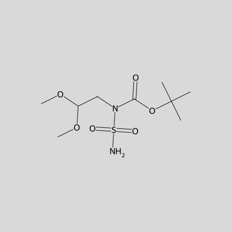 COC(CN(C(=O)OC(C)(C)C)S(N)(=O)=O)OC